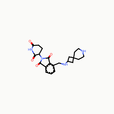 O=C1CCC(N2C(=O)c3cccc(CNC4CC5(CCNCC5)C4)c3C2=O)C(=O)N1